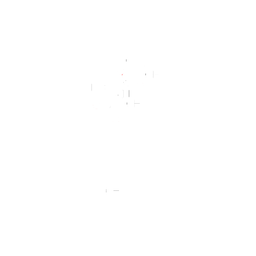 CCCCCCOC(=O)C(C)(C)[SiH](OC)OC